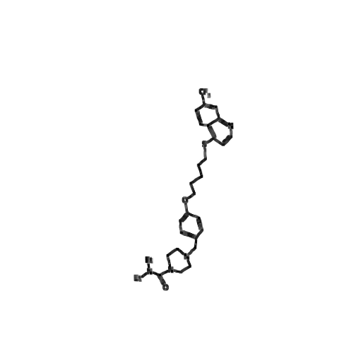 CCN(CC)C(=O)N1CCN(Cc2ccc(OCCCCCSc3ccnc4cc(C(F)(F)F)ccc34)cc2)CC1